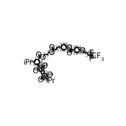 CC(C)c1cc(C(=O)OCCCOC(=O)/C=C/c2ccc(OC(=O)c3ccc(OCCCC(F)(F)C(F)(F)F)cc3)cc2)cc(N2C(=O)C3C(C2=O)C2C(=O)N(C(C)C)C(=O)C32)c1